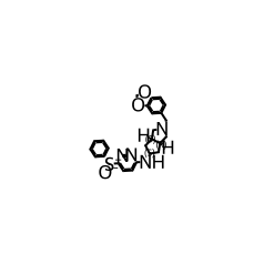 [O-][S+](c1ccccc1)c1ccc(N[C@H]2C[C@@H]3CN(Cc4ccc5c(c4)OCO5)C[C@@H]3C2)nn1